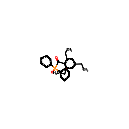 CCc1cc(CC)c(C(=O)P(=O)(c2ccccc2)c2ccccc2)c(CC)c1